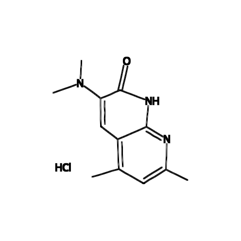 Cc1cc(C)c2cc(N(C)C)c(=O)[nH]c2n1.Cl